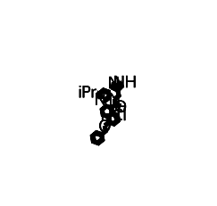 CC(C)c1ccc(N(Cc2cn[nH]c2)C(=O)C2CCCc3c(OCc4ccccc4)ccc(F)c32)cn1.Cl